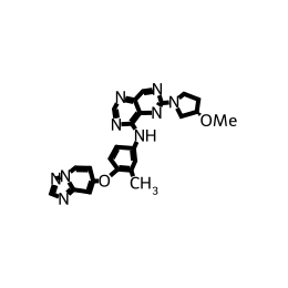 CO[C@@H]1CCN(c2ncc3ncnc(Nc4ccc(Oc5ccn6ncnc6c5)c(C)c4)c3n2)C1